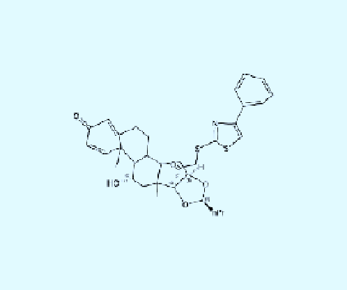 CCC[C@@H]1O[C@@H]2CC3C4CCC5=CC(=O)C=CC5(C)C4[C@@H](O)CC3(C)[C@]2(C(=O)CSc2nc(-c3ccccc3)cs2)O1